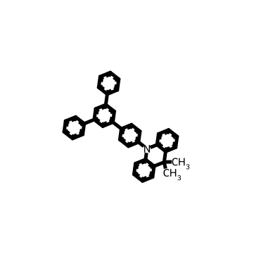 CC1(C)c2ccccc2N(c2ccc(-c3cc(-c4ccccc4)cc(-c4ccccc4)c3)cc2)c2ccccc21